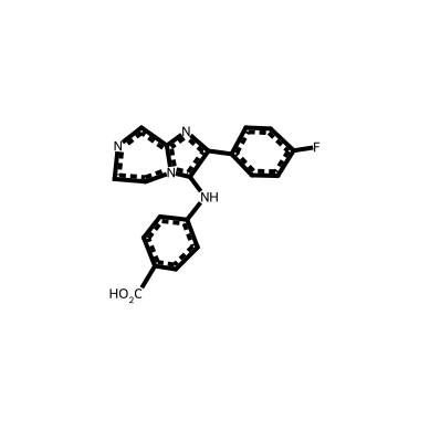 O=C(O)c1ccc(Nc2c(-c3ccc(F)cc3)nc3cnccn23)cc1